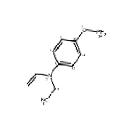 C=CN(CC#N)c1ccc(OP)cc1